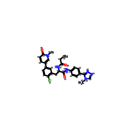 CC(C)n1cc(-c2ccc(Cl)c(CC(NC(=O)CC(C)(C)C)C(=O)Nc3ccc(-c4nncn4C)cc3)c2)ccc1=O